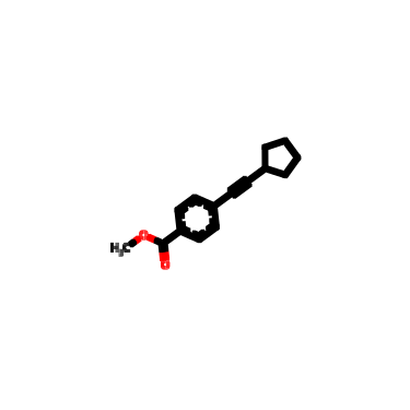 COC(=O)c1ccc(C#CC2CCCC2)cc1